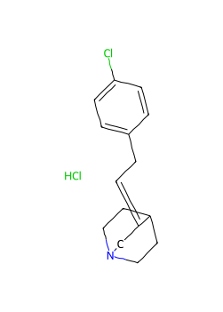 Cl.Clc1ccc(CC=C2CN3CCC2CC3)cc1